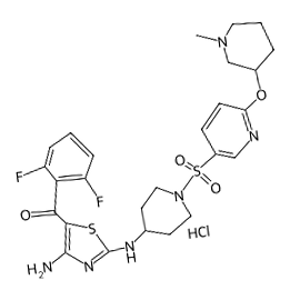 CN1CCCC(Oc2ccc(S(=O)(=O)N3CCC(Nc4nc(N)c(C(=O)c5c(F)cccc5F)s4)CC3)cn2)C1.Cl